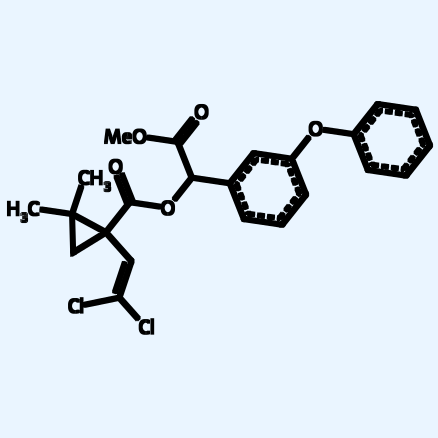 COC(=O)C(OC(=O)C1(C=C(Cl)Cl)CC1(C)C)c1cccc(Oc2ccccc2)c1